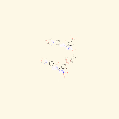 CCOC(=O)n1nc(NC(=O)c2ccc(N3CCOCC3)cc2)c2cc(C(=O)O)sc21.CCOC(=O)n1nc(NC(=O)c2ccc(N3CCOCC3)cc2)c2cc(C(=O)OC(C)(C)C)sc21.Cl